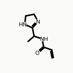 C=CC(=O)NC(C)C1=NCCN1